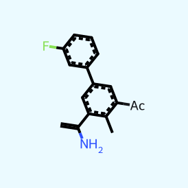 C=C(N)c1cc(-c2cccc(F)c2)cc(C(C)=O)c1C